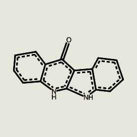 O=c1c2ccccc2[nH]c2[nH]c3ccccc3c12